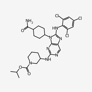 CC(C)OC(=O)N1CCCC(Nc2ncc3nc(Nc4c(Cl)cc(Cl)cc4Cl)n(C4CCC(C(N)=O)CC4)c3n2)C1